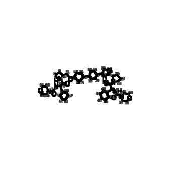 O=C(N[C@@H](C(=O)N1CCC[C@H]1COc1ccc(-c2ccc(-c3cnc([C@@H]4CCCN4C(=O)[C@H](NC(=O)N4CCOCC4)c4ccccc4)[nH]3)cc2)cc1)c1ccccc1)N1CCOCC1